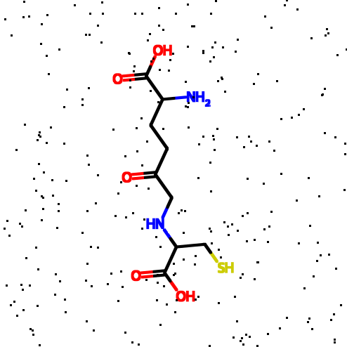 NC(CCC(=O)CNC(CS)C(=O)O)C(=O)O